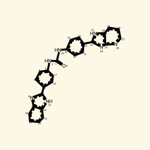 O=C(Nc1ccc(-c2nc3ccccc3[nH]2)cc1)Nc1ccc(-c2nc3ncccc3[nH]2)cc1